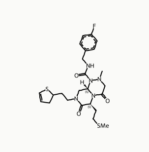 CSCC[C@H]1C(=O)N(CCC2CC=CS2)C[C@H]2N1C(=O)CN(C)N2C(=O)NCc1ccc(F)cc1